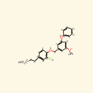 CC(C)Oc1cc(COc2ccc(CCC(=O)O)cc2F)cc(Oc2ccccc2)c1